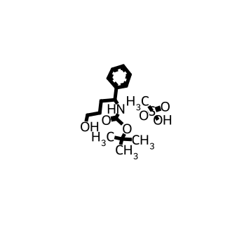 CC(C)(C)OC(=O)NC(CCCO)c1ccccc1.CS(=O)(=O)O